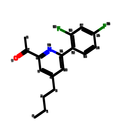 CCCCc1cc(C(C)=O)nc(-c2ccc(F)cc2F)c1